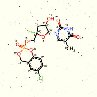 Cc1cn([C@@H]2O[C@](F)(COP3(=O)OCc4cc(Cl)ccc4O3)C[C@H]2O)c(=O)[nH]c1=O